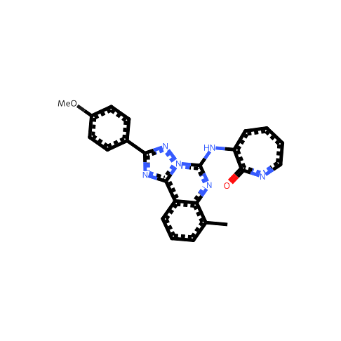 COc1ccc(-c2nc3c4cccc(C)c4nc(Nc4ccccnc4=O)n3n2)cc1